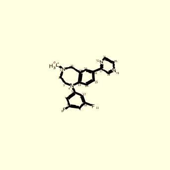 CN1CCN(c2cc(F)cc(F)c2)c2ccc(-c3cnccn3)cc2C1